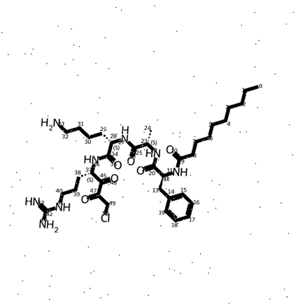 CCCCCCCCCC(=O)N[C@@H](Cc1ccccc1)C(=O)N[C@@H](C)C(=O)N[C@@H](CCCCN)C(=O)N[C@@H](CCCNC(=N)N)C(=O)C(=O)CCl